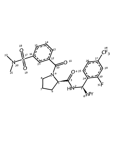 CCC[C@@H](NC(=O)[C@H]1CCCN1C(=O)c1cccc(S(=O)(=O)N(C)C)c1)c1ccc(C(F)(F)F)cc1F